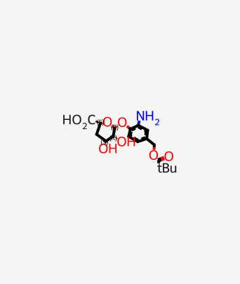 CC(C)(C)C(=O)OCc1ccc(O[C@H]2O[C@H](C(=O)O)C[C@H](O)[C@H]2O)c(N)c1